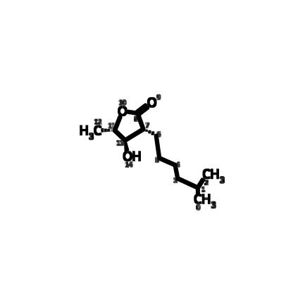 CC(C)CCCC[C@H]1C(=O)O[C@@H](C)[C@@H]1O